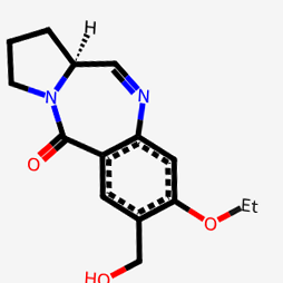 CCOc1cc2c(cc1CO)C(=O)N1CCC[C@H]1C=N2